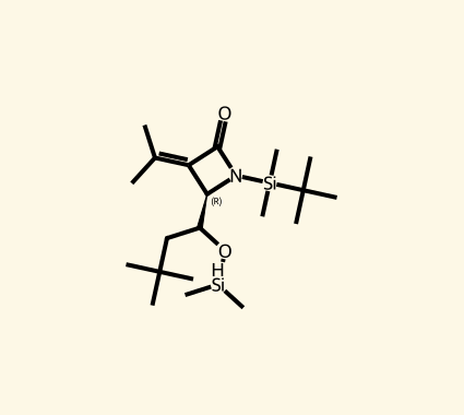 CC(C)=C1C(=O)N([Si](C)(C)C(C)(C)C)[C@H]1C(CC(C)(C)C)O[SiH](C)C